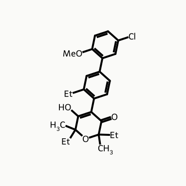 CCc1cc(-c2cc(Cl)ccc2OC)ccc1C1=C(O)C(C)(CC)OC(C)(CC)C1=O